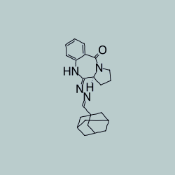 O=C1c2ccccc2N/C(=N/N=CC23CC4CC(CC(C4)C2)C3)[C@@H]2CCCN12